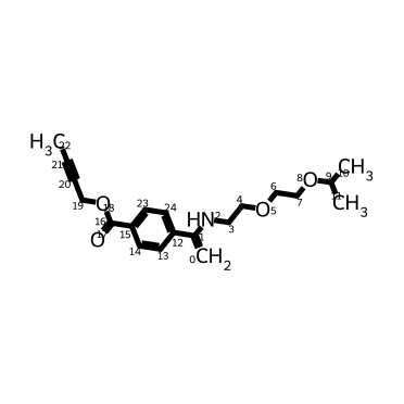 C=C(NCCOCCOC(C)C)c1ccc(C(=O)OCC#CC)cc1